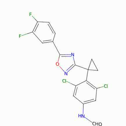 O=CNc1cc(Cl)c(C2(c3noc(-c4ccc(F)c(F)c4)n3)CC2)c(Cl)c1